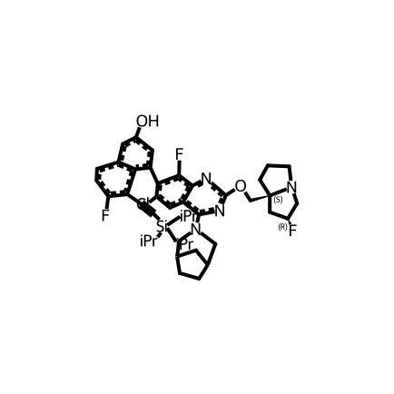 CC(C)[Si](C#Cc1c(F)ccc2cc(O)cc(-c3c(Cl)cc4c(N5CC6CCC(C6)C5)nc(OC[C@@]56CCCN5C[C@H](F)C6)nc4c3F)c12)(C(C)C)C(C)C